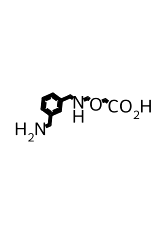 NCc1cccc(CNCOCC(=O)O)c1